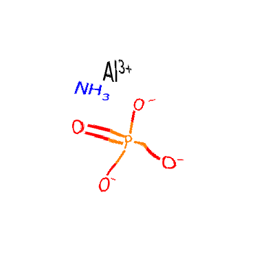 N.O=P([O-])([O-])[O-].[Al+3]